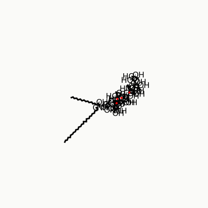 CCCCCCCCCCCCC/C=C/[C@@H](O)[C@H](CO[C@@H]1OC(CO)[C@@H](O[C@@H]2OC(CO)[C@H](O)[C@H](O[C@@H]3OC(CO)[C@@H](O[C@@H]4OC(CO)[C@H](O)[C@H](O[C@H]5OC(CO)[C@H](O)[C@H](O[C@@H]6OC(CO)[C@H](O)[C@H](O)C6O[C@H]6OC(C)[C@@H](O)C(O)[C@@H]6O)C5NC(C)=O)C4O[C@H]4OC(C)[C@@H](O)C(O)[C@@H]4O)[C@H](O)C3NC(C)=O)C2O)[C@H](O)C1O)NC(=O)CCCCCCCCCCCCCCCCCCCCCCCCC